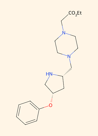 CCOC(=O)CN1CCN(C[C@@H]2C[C@H](Oc3ccccc3)CN2)CC1